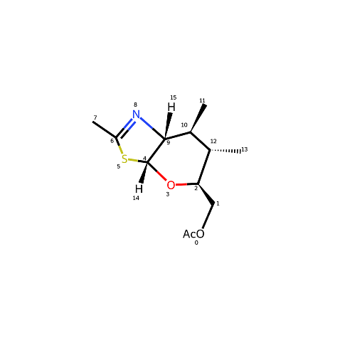 CC(=O)OC[C@H]1O[C@@H]2SC(C)=N[C@@H]2[C@@H](C)[C@@H]1C